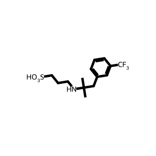 CC(C)(Cc1cccc(C(F)(F)F)c1)NCCCS(=O)(=O)O